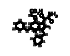 Cc1c(C(=O)C(N)=O)c2c(OCC(=O)O)cc(Cc3ccccc3)nn2c1Cc1ccccc1